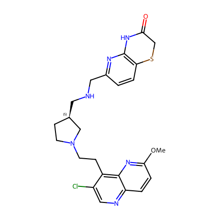 COc1ccc2ncc(Cl)c(CCN3CC[C@@H](CNCc4ccc5c(n4)NC(=O)CS5)C3)c2n1